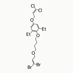 CCc1cc(OCC=C(Cl)Cl)cc(CC)c1OCCCCOCC=C(Br)Br